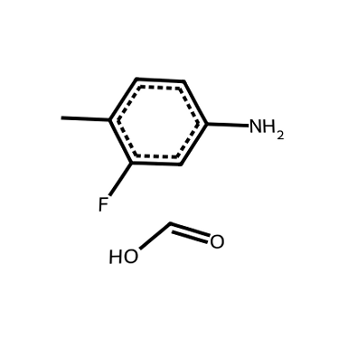 Cc1ccc(N)cc1F.O=CO